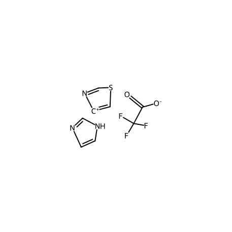 O=C([O-])C(F)(F)F.[C+]1=CSC=N1.c1c[nH]cn1